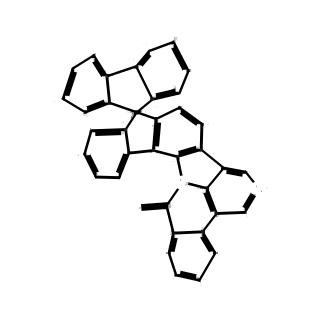 O=c1c2ccccc2c2cncc3c4ccc5c(c4n1c23)-c1ccccc1C51c2ccccc2-c2ccccc21